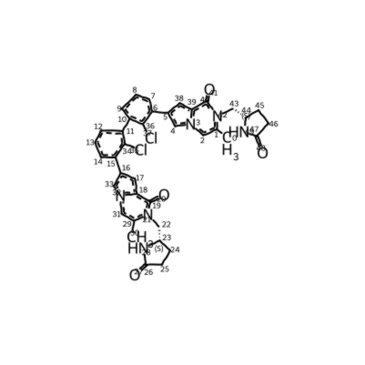 Cc1cn2cc(-c3cccc(-c4cccc(-c5cc6c(=O)n(C[C@@H]7CCC(=O)N7)c(C)cn6c5)c4Cl)c3Cl)cc2c(=O)n1C[C@@H]1CCC(=O)N1